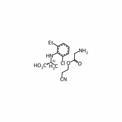 CCc1cccc(Cl)c1N[C@@H](C)C(=O)O.N#CCCOC(=O)CN